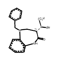 CC(C)(C)N(C(=O)O)[C@H]1CN(Cc2ccccc2)c2ccccc2NC1=O